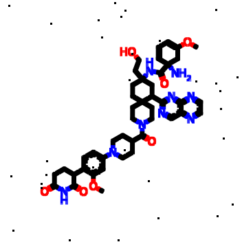 COC1=CC=CC(N)(C(=O)NC2(CCO)CCC3(CCN(C(=O)C4CCN(c5ccc(C6CCC(=O)NC6=O)c(OC)c5)CC4)CC3)C(c3ncc4nccnc4n3)C2)C1